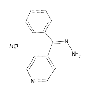 Cl.NN=C(c1ccccc1)c1ccncc1